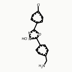 Cl.NCc1ccc(-c2nnc(-c3ccc(Cl)cc3)o2)cc1